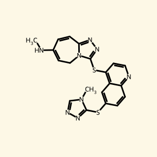 CNC1=CCn2c(nnc2Sc2ccnc3ccc(Sc4nncn4C)cc23)C=C1